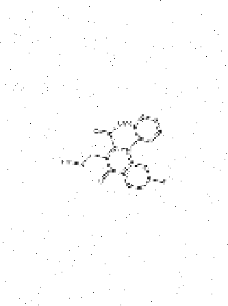 COC(=O)c1c(CN=N)c(=O)c2ccc(F)cc2n1-c1ccccc1